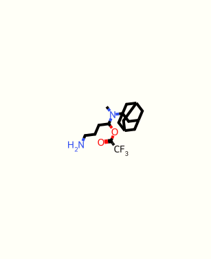 CN(C(CCCN)OC(=O)C(F)(F)F)C12CC3CC(CC(C3)C1)C2